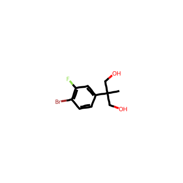 CC(CO)(CO)c1ccc(Br)c(F)c1